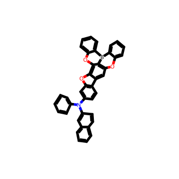 c1ccc(N(c2ccc3ccccc3c2)c2ccc3c(c2)oc2c4c5c(cc23)Oc2ccccc2B5c2ccccc2O4)cc1